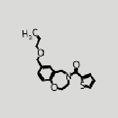 C=CCOCc1ccc2c(c1)CN(C(=O)c1cccs1)CCO2